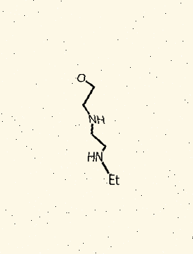 CCNCCNCC[O]